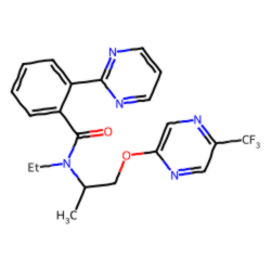 CCN(C(=O)c1ccccc1-c1ncccn1)C(C)COc1cnc(C(F)(F)F)cn1